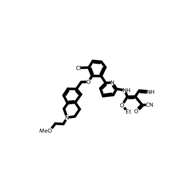 CCO/C(Nc1cccc(-c2cccc(Cl)c2OCc2ccc3c(c2)CCN(CCOC)C3)n1)=C(/C=N)C(=O)C#N